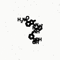 CC1Cc2c(C(N)=O)cccc2C1c1nc(NCc2cccc(B(O)O)c2)c2c(n1)N(C)CC2